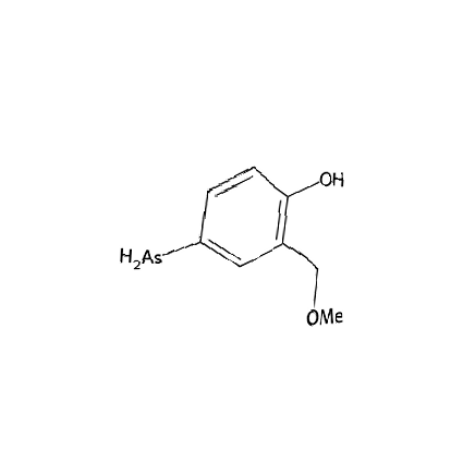 COCc1cc([AsH2])ccc1O